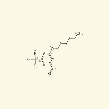 CCCCCCOc1cc(C=O)cc(C(F)(F)F)c1